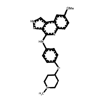 COc1ccc2nc(Nc3ccc(OC4CCN(C)CC4)cc3)c3n[nH]cc3c2c1